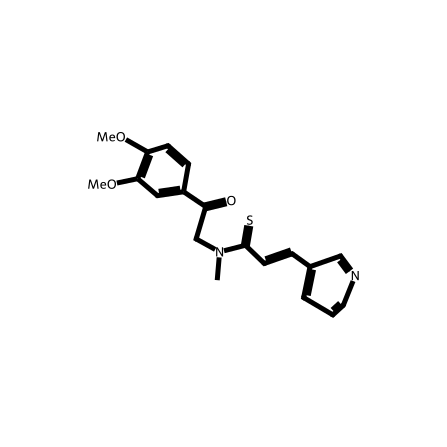 COc1ccc(C(=O)CN(C)C(=S)C=Cc2cccnc2)cc1OC